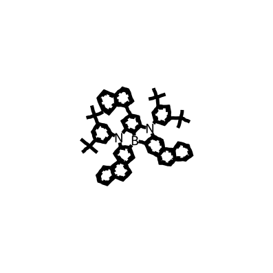 CC(C)(C)c1cc(N2c3cc4c(ccc5ccccc54)cc3B3c4cc5ccc6ccccc6c5cc4N(c4cc(C(C)(C)C)cc(C(C)(C)C)c4)c4cc(-c5cccc6ccccc56)cc2c43)cc(C(C)(C)C)c1